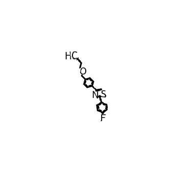 C#CCCOCc1ccc(-c2csc(-c3ccc(F)cc3)n2)cc1